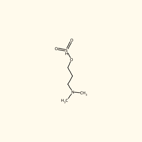 CN(C)CCCO[SH](=O)=O